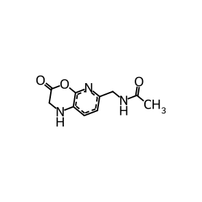 CC(=O)NCc1ccc2c(n1)OC(=O)CN2